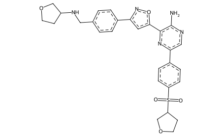 Nc1ncc(-c2ccc(S(=O)(=O)C3CCOC3)cc2)nc1-c1cc(-c2ccc(CNC3CCOC3)cc2)no1